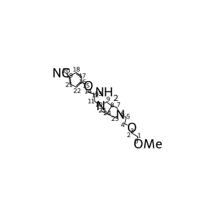 COCCOCCN1CC2CN(C[C@H](N)COc3ccc(C#N)cc3)CC2C1